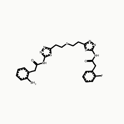 Bc1ccccc1CC(=O)Nc1nnc(CCSCCc2nnc(NC(=O)Cc3ccccc3F)s2)s1